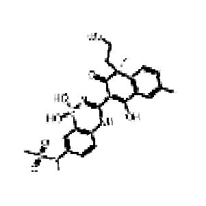 CC(C)(C)CC[C@]1(C)C(=O)C(C2=NS(O)(O)c3cc(NS(C)(=O)=O)ccc3N2)=C(O)c2cc(F)ccc21